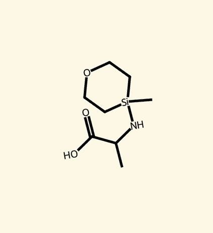 CC(N[Si]1(C)CCOCC1)C(=O)O